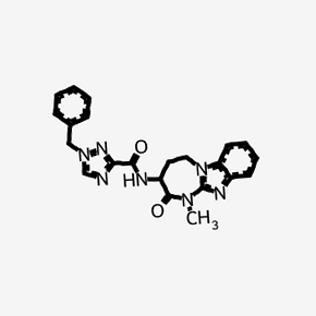 CN1C(=O)C(NC(=O)c2ncn(Cc3ccccc3)n2)CCn2c1nc1ccccc12